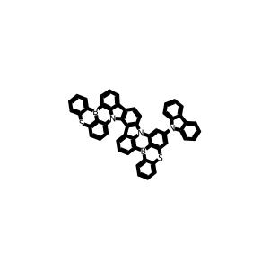 c1ccc2c(c1)Sc1cc(-n3c4ccccc4c4ccccc43)cc3c1B2c1cccc2c4c(ccc5c6cccc7c6n(c54)-c4cccc5c4B7c4ccccc4S5)n-3c12